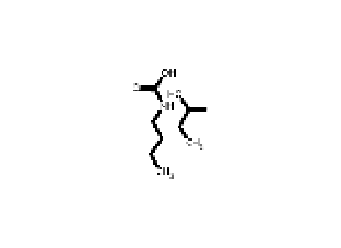 CCC(O)I.CCCCNC(=O)O